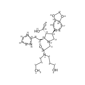 CCCCN(CCCO)C(=O)CN1C[C@H](c2ccc3c(c2)OCO3)[C@@H](C(=O)O)[C@@H]1CCc1ncccn1